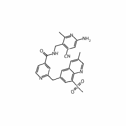 Cc1cnc2c(S(C)(=O)=O)cc(Cc3cc(C(=O)NCc4c(C#N)cc(N)nc4C)ccn3)cc2c1